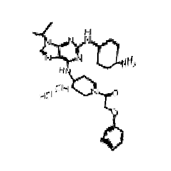 CC(C)n1cnc2c(NC3CCN(C(=O)COc4ccccc4)CC3)nc(NC3CCC(N)CC3)nc21.Cl.Cl